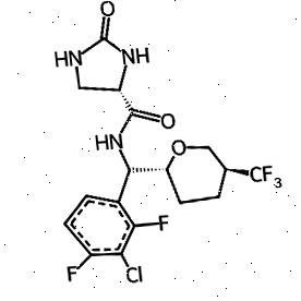 O=C1NC[C@@H](C(=O)NC(c2ccc(F)c(Cl)c2F)[C@H]2CC[C@H](C(F)(F)F)CO2)N1